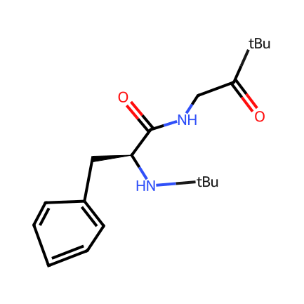 CC(C)(C)N[C@@H](Cc1ccccc1)C(=O)NCC(=O)C(C)(C)C